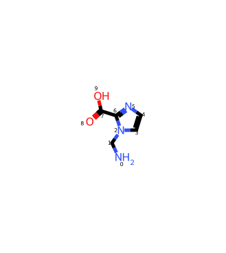 NCn1ccnc1C(=O)O